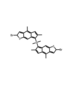 CC1=Cc2c(C)c3c(cc2=C1[Si](C)(C)C1=c2cc4c(c(C)c2C=C1C)=CC(Br)S4)SC(Br)C=3